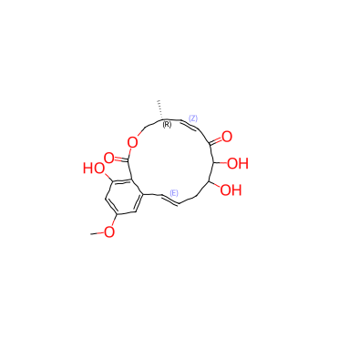 COc1cc(O)c2c(c1)/C=C/CC(O)C(O)C(=O)/C=C\[C@@H](C)COC2=O